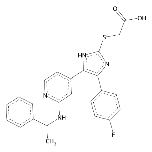 CC(Nc1cc(-c2[nH]c(SCC(=O)O)nc2-c2ccc(F)cc2)ccn1)c1ccccc1